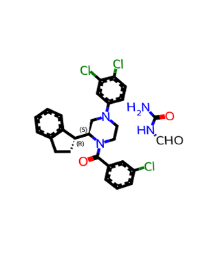 NC(=O)NC=O.O=C(c1cccc(Cl)c1)N1CCN(c2ccc(Cl)c(Cl)c2)C[C@@H]1[C@@H]1CCc2ccccc21